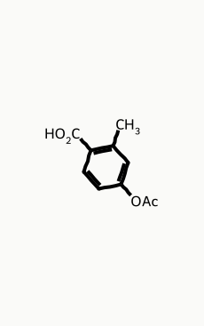 CC(=O)Oc1ccc(C(=O)O)c(C)c1